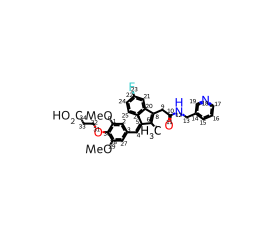 COc1cc(/C=C2/C(C)=C(CC(=O)NCc3cccnc3)c3cc(F)ccc32)cc(OC)c1OCCC(=O)O